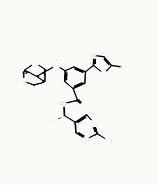 Cc1cnc(-c2cc(OC3C=C4NCC3CO4)cc(C(=O)N[C@H](C)c3cnc(C(F)(F)F)nc3)c2)s1